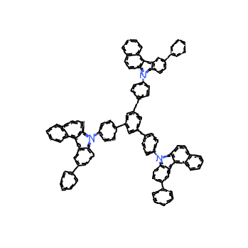 c1ccc(-c2ccc3c(c2)c2c4ccccc4ccc2n3-c2ccc(-c3cc(-c4ccc(-n5c6ccc(-c7ccccc7)cc6c6c7ccccc7ccc65)cc4)cc(-c4ccc(-n5c6ccc(-c7ccccc7)cc6c6c7ccccc7ccc65)cc4)c3)cc2)cc1